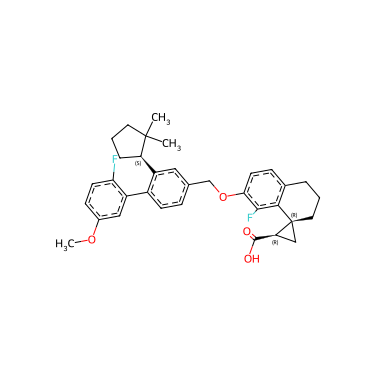 COc1ccc(F)c(-c2ccc(COc3ccc4c(c3F)[C@]3(CCC4)C[C@H]3C(=O)O)cc2[C@H]2CCCC2(C)C)c1